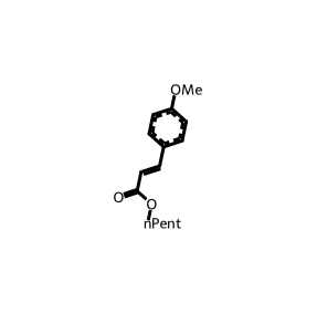 CCCCCOC(=O)C=Cc1ccc(OC)cc1